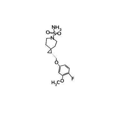 COc1cc(OC[C@@H]2CC23CCN(S(N)(=O)=O)CC3)ccc1F